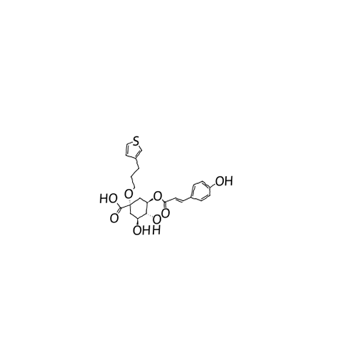 O=C(/C=C/c1ccc(O)cc1)O[C@@H]1C[C@](OCCCc2ccsc2)(C(=O)O)C[C@H](O)[C@H]1O